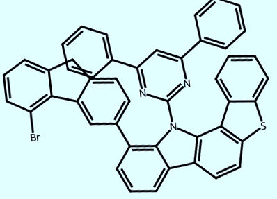 Brc1cccc2c1-c1cc(-c3cccc4c5ccc6sc7ccccc7c6c5n(-c5nc(-c6ccccc6)cc(-c6ccccc6)n5)c34)ccc1C2